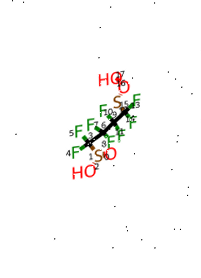 O=S(O)C(F)(F)C(F)(F)C(F)(F)C(F)(F)SOO